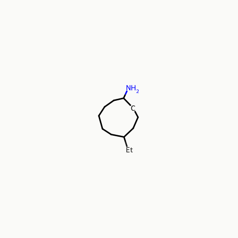 CCC1CCCCCC(N)CCC1